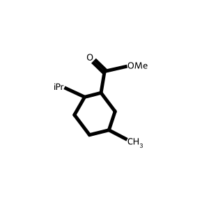 COC(=O)[C]1CC(C)CCC1C(C)C